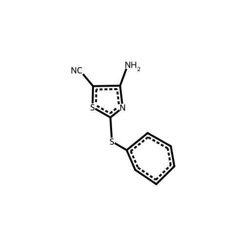 N#Cc1sc(Sc2ccccc2)nc1N